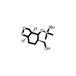 CC(C)(C)[Si](C)(C)OC1[C@@H](CO)CC[C@H]2SOC[C@@H]12